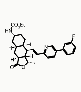 CCOC(=O)N[C@@H]1CC[C@@H]2[C@@H](C1)C[C@@H]1C(=O)O[C@@H](C)[C@H]1[C@@H]2/C=C/c1ccc(-c2cccc(F)c2)cn1